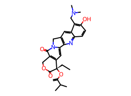 C=C(O[C@]1(CC)C(=O)OCc2c1cc1n(c2=O)Cc2cc3c(CN(C)C)c(O)ccc3nc2-1)C(C)C